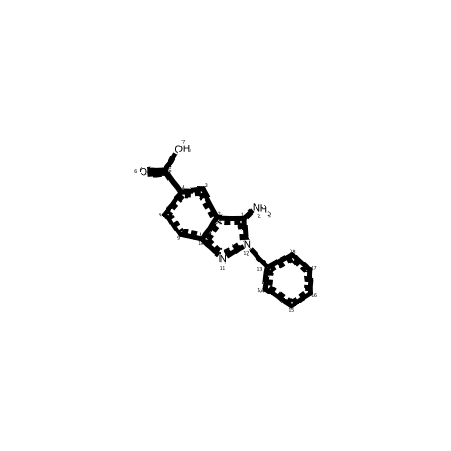 Nc1c2cc(C(=O)O)ccc2nn1-c1ccccc1